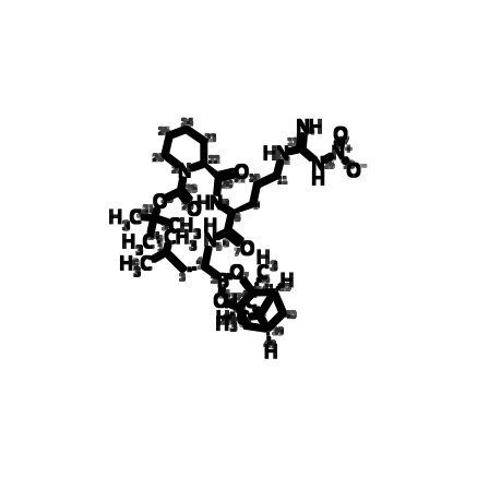 CC(C)C[C@H](NC(=O)[C@H](CCCNC(=N)N[N+](=O)[O-])NC(=O)[C@@H]1CCCCN1C(=O)OC(C)(C)C)B1O[C@@H]2C[C@@H]3C[C@@H](C3(C)C)[C@]2(C)O1